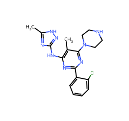 Cc1nc(Nc2nc(-c3ccccc3Cl)nc(N3CCNCC3)c2C)n[nH]1